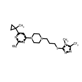 Cn1c(SCCCN2CCN(c3cc(C4(C)CC4)nc(C(C)(C)C)n3)CC2)nnc1C(F)(F)F